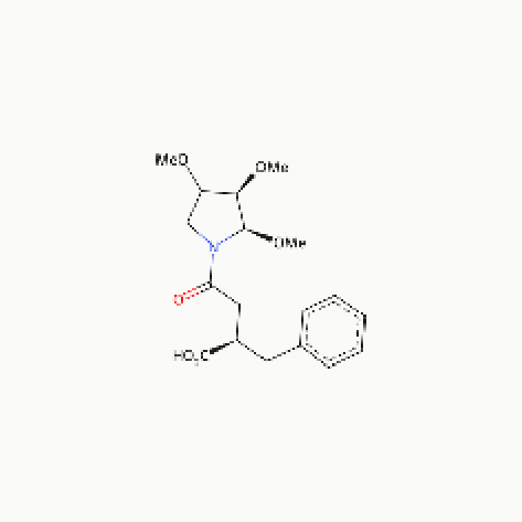 COC1CN(C(=O)C[C@@H](Cc2ccccc2)C(=O)O)[C@H](OC)[C@@H]1OC